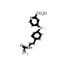 CCOC(=O)c1cc(Sc2ccc(CCNC(=O)C(F)(F)F)cc2)ccn1